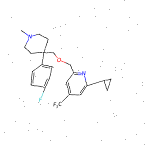 CN1CCC(COCc2cc(C(F)(F)F)cc(C3CC3)n2)(c2ccc(F)cc2)CC1